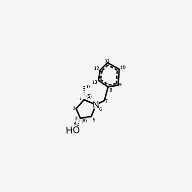 C[C@H]1C[C@@H](O)CN1Cc1ccccc1